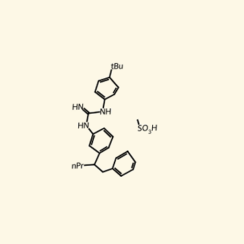 CCCC(Cc1ccccc1)c1cccc(NC(=N)Nc2ccc(C(C)(C)C)cc2)c1.CS(=O)(=O)O